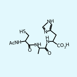 CC(=O)NC(CS)C(=O)NC(C)C(=O)NC(Cc1c[nH]cn1)C(=O)O